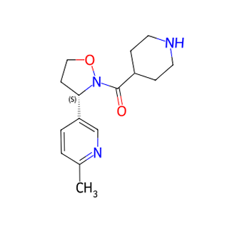 Cc1ccc([C@@H]2CCON2C(=O)C2CCNCC2)cn1